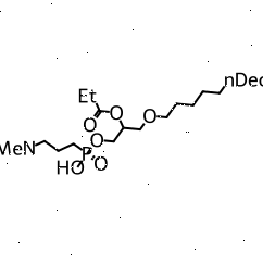 CCCCCCCCCCCCCCCOCC(COP(=O)(O)CCCNC)OC(=O)CC